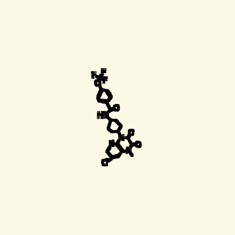 Cn1c(=O)c(=O)n(C2CCC(NC(=O)c3ccc(OC(F)(F)F)cc3)CC2)c2ncc(Cl)cc21